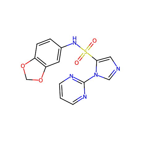 O=S(=O)(Nc1ccc2c(c1)OCO2)c1cncn1-c1ncccn1